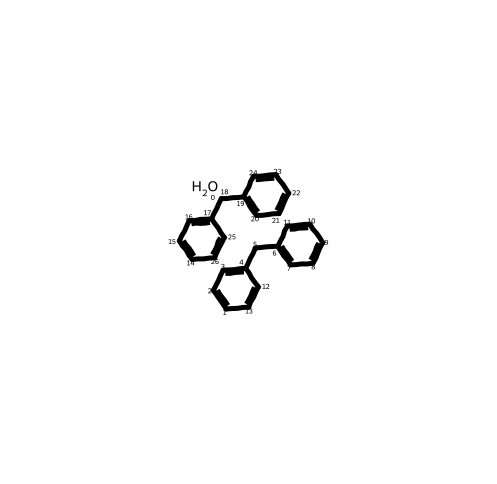 O.c1ccc(Cc2ccccc2)cc1.c1ccc(Cc2ccccc2)cc1